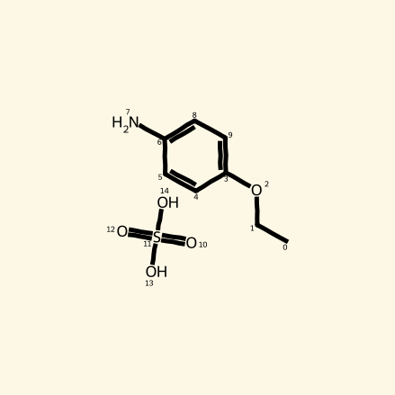 CCOc1ccc(N)cc1.O=S(=O)(O)O